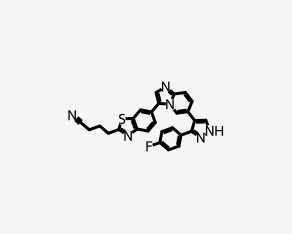 N#CCCCc1nc2ccc(-c3cnc4ccc(-c5c[nH]nc5-c5ccc(F)cc5)cn34)cc2s1